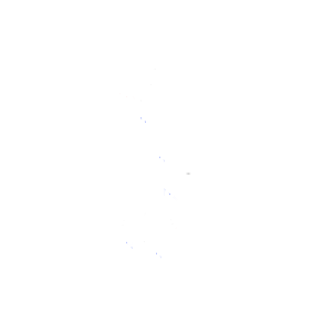 Nc1ncccc1C(=O)c1cccc(N2CCCN(C(=O)C3CCOCC3)CC2)n1